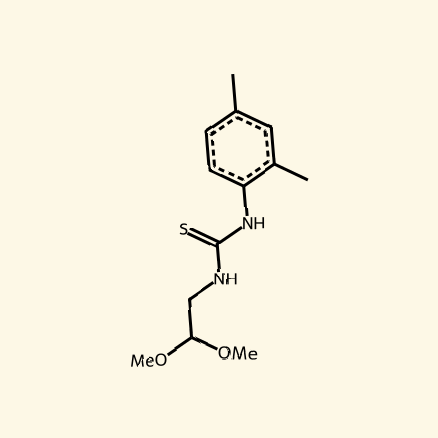 COC(CNC(=S)Nc1ccc(C)cc1C)OC